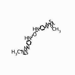 CC[n+]1ccsc1/N=N/c1ccc(NCCOCCNc2ccc(/N=N/c3scc[n+]3CC)cc2)cc1